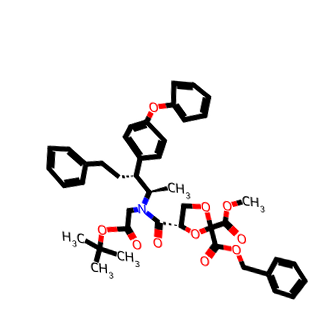 COC(=O)C1(C(=O)OCc2ccccc2)OC[C@@H](C(=O)N(CC(=O)OC(C)(C)C)[C@H](C)[C@H](CCc2ccccc2)c2ccc(Oc3ccccc3)cc2)O1